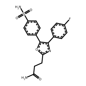 NC(=O)CCc1nc(-c2ccc(F)cc2)c(-c2ccc(S(N)(=O)=O)cc2)o1